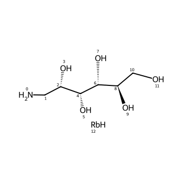 NC[C@H](O)[C@@H](O)[C@H](O)[C@H](O)CO.[RbH]